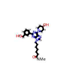 CNC(=O)CCCCCCn1cnc2c(N3CCC(O)CC3)nc(-c3cccc(CO)c3)nc21